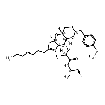 CCCCCCCC1=N[C@@H]2[C@@H](O[C@H](C)C(=O)N[C@@H](C)[C]=O)[C@@H]3O[C@H](Cc4ccc(OC)cc4)OC[C@H]3O[C@@H]2S1